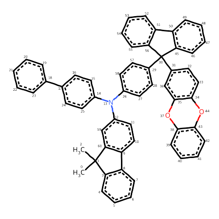 CC1(C)c2ccccc2-c2ccc(N(c3ccc(-c4ccccc4)cc3)c3ccc(C4(c5ccc6c(c5)Oc5ccccc5O6)c5ccccc5-c5ccccc54)cc3)cc21